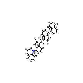 CC1=Cc2c(-c3cccc4ccccc34)cccc2C1[Si](C)(C)C1C(C)=Cc2c1cccc2N1CCCc2ccccc21